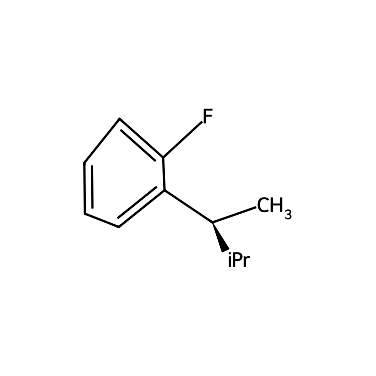 CC(C)[C@H](C)c1ccccc1F